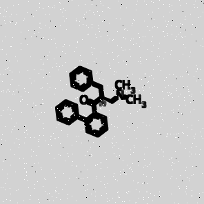 CN(C)C[C@H](Cc1ccccc1)C(=O)c1ccccc1-c1ccccc1